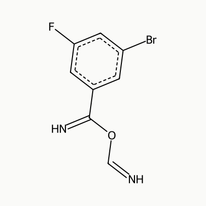 N=COC(=N)c1cc(F)cc(Br)c1